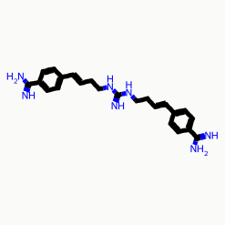 N=C(NCC/C=C/c1ccc(C(=N)N)cc1)NCC/C=C/c1ccc(C(=N)N)cc1